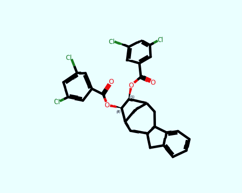 O=C(O[C@@H]1C2CC3Cc4ccccc4C3CC(C2)[C@@H]1OC(=O)c1cc(Cl)cc(Cl)c1)c1cc(Cl)cc(Cl)c1